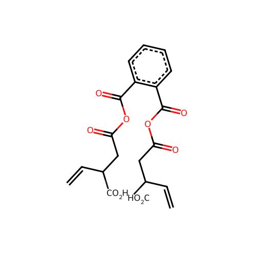 C=CC(CC(=O)OC(=O)c1ccccc1C(=O)OC(=O)CC(C=C)C(=O)O)C(=O)O